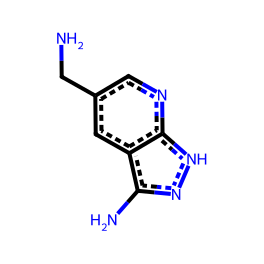 NCc1cnc2[nH]nc(N)c2c1